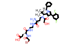 CC(C)(C)[C@H](c1cc(-c2cc(F)ccc2F)cn1Cc1ccccc1)N(CC[C@H](N)C(=O)NCCNC(=O)[C@@H](CCC(=O)O)NC(=O)CBr)C(=O)CO